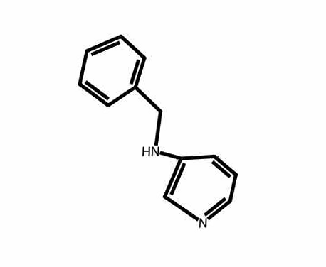 [c]1ccncc1NCc1ccccc1